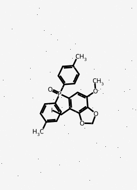 COc1cc(P(=O)(c2ccc(C)cc2)c2ccc(C)cc2)c(CI)c2c1OCO2